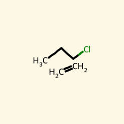 C=C.CCCCl